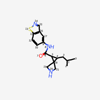 CC(C)CC1C(C(=O)Nc2ccc3sncc3c2)C12CNC2